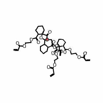 C=CC(=O)OCCOC(=O)C1CCCCC1(OC(=O)C1CCCCC1C(=O)OC1(C(=O)OCCOC(=O)C=C)CCCCC1C(=O)OCCOC(=O)C=C)C(=O)OCCOC(=O)C=C